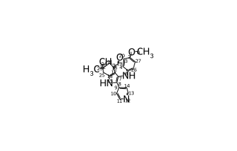 COc1ccc(Nc2c(-c3ccncc3)[nH]c3c2C(C=O)CC(C)(C)C3)cc1